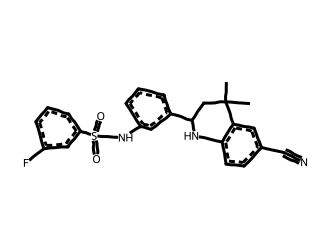 CC1(C)CC(c2cccc(NS(=O)(=O)c3cccc(F)c3)c2)Nc2ccc(C#N)cc21